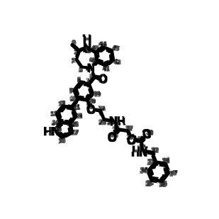 CC1CCN(C(=O)c2ccc(-c3ccc4[nH]ccc4c3)c(OCCNC(=O)COC(=O)NCc3ccccc3)c2)c2ccccc2N1